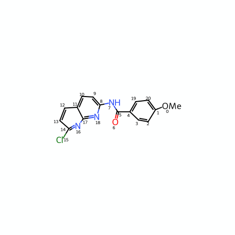 COc1ccc(C(=O)Nc2ccc3ccc(Cl)nc3n2)cc1